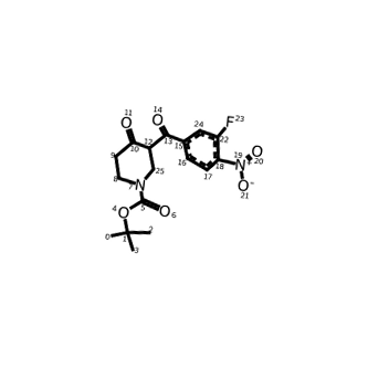 CC(C)(C)OC(=O)N1CCC(=O)C(C(=O)c2ccc([N+](=O)[O-])c(F)c2)C1